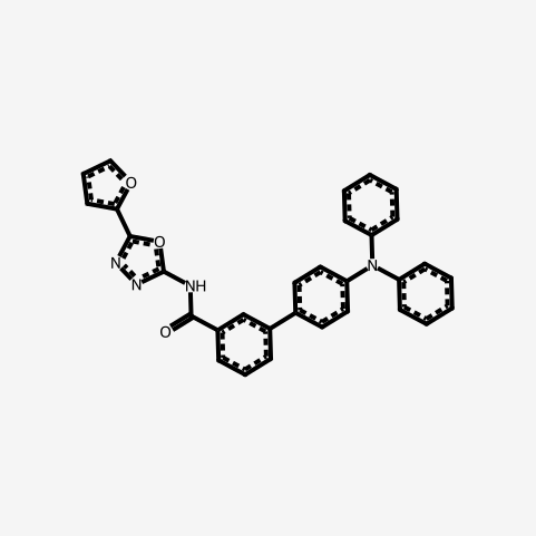 O=C(Nc1nnc(-c2ccco2)o1)c1cccc(-c2ccc(N(c3ccccc3)c3ccccc3)cc2)c1